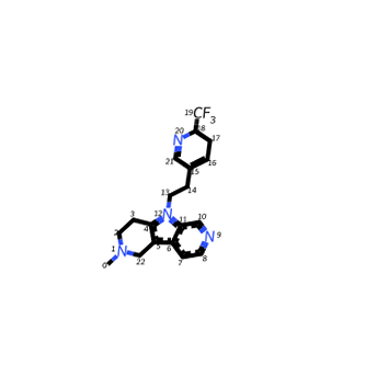 CN1CCc2c(c3ccncc3n2CCC2=CCC(C(F)(F)F)N=C2)C1